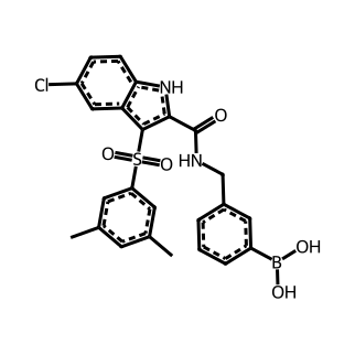 Cc1cc(C)cc(S(=O)(=O)c2c(C(=O)NCc3cccc(B(O)O)c3)[nH]c3ccc(Cl)cc23)c1